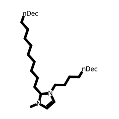 CCCCCCCCCCCCCCCCCCCC1N(C)C=CN1CCCCCCCCCCCCCC